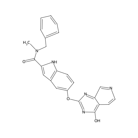 CN(Cc1ccccc1)C(=O)c1cc2cc(Oc3nc(O)c4ccncc4n3)ccc2[nH]1